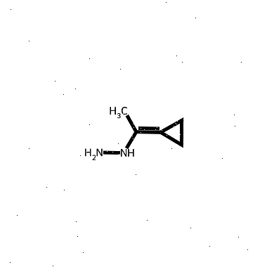 CC(NN)=C1CC1